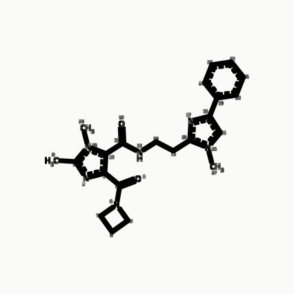 Cc1nc(C(=O)N2CCC2)c(C(=O)NCCc2nc(-c3ccccc3)cn2C)n1C